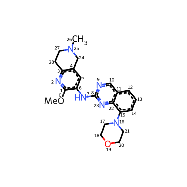 COc1nc2c(cc1Nc1ncc3cccc(N4CCOCC4)c3n1)CN(C)CC2